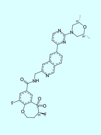 C[C@@H]1CN(c2nccc(-c3ccc4cnc(CNC(=O)c5cc(F)c6c(c5)S(=O)(=O)[C@@H](F)CCO6)cc4c3)n2)C[C@H](C)O1